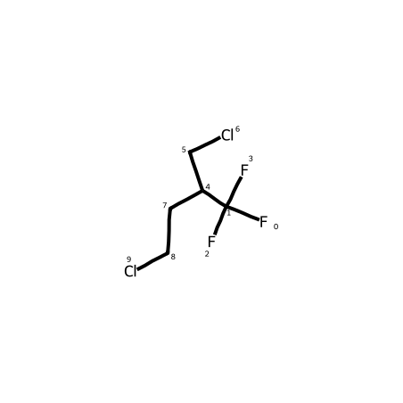 FC(F)(F)C(CCl)CCCl